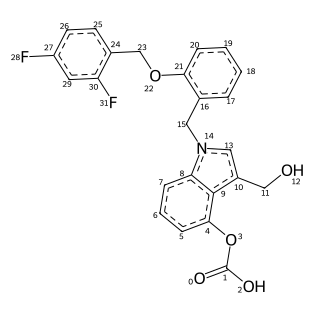 O=C(O)Oc1cccc2c1c(CO)cn2Cc1ccccc1OCc1ccc(F)cc1F